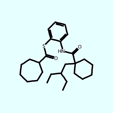 CCC(CC)CC1(C(=O)Nc2ccccc2SC(=O)C2CCCCCC2)CCCCC1